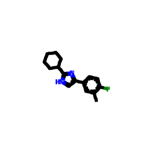 Cc1cc(-c2c[nH]c(C3CCCCC3)n2)ccc1F